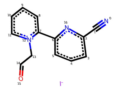 N#Cc1cccc(-c2cccc[n+]2CC=O)n1.[I-]